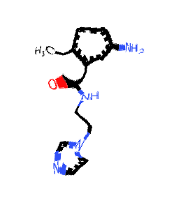 Cc1ccc(N)cc1C(=O)NCCn1ccnc1